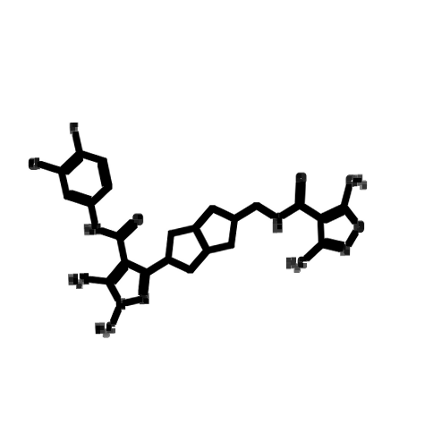 Cc1noc(C)c1C(=O)NCC1CC2CC(c3nn(C)c(N)c3C(=O)Nc3ccc(F)c(Cl)c3)CC2C1